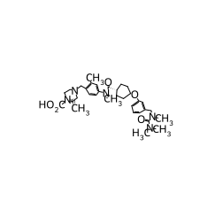 Cc1cc(N(C)C(=O)[C@H]2CC[C@H](Oc3cccc(CN(C)C(=O)N(C)C)c3)CC2)ccc1CN1CCN(C(=O)O)[C@@H](C)C1